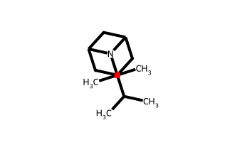 CC(C)C(C)(C)N1C2CCCC1C2